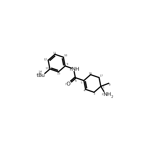 CC1(N)CC=C(C(=O)Nc2cccc(C(C)(C)C)c2)CC1